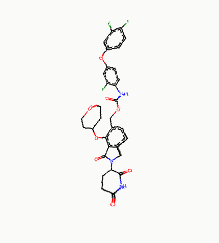 O=C1CCC(N2Cc3ccc(COC(=O)Nc4ccc(Oc5ccc(F)c(F)c5)cc4F)c(OC4CCOCC4)c3C2=O)C(=O)N1